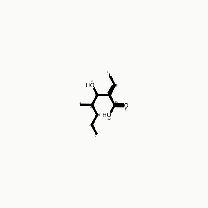 CCCC(C)C(O)/C(=C\I)C(=O)O